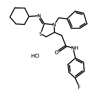 Cl.O=C(CC1CSC(=NC2CCCCC2)N1Cc1ccccc1)Nc1ccc(F)cc1